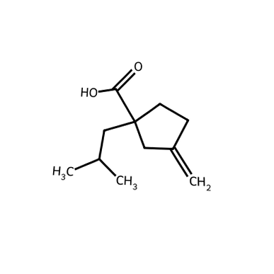 C=C1CCC(CC(C)C)(C(=O)O)C1